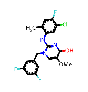 COC1=CN(Cc2cc(F)cc(F)c2)C(Nc2cc(Cl)c(F)cc2C)=NC1O